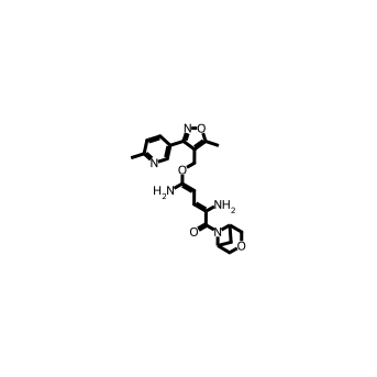 Cc1ccc(-c2noc(C)c2CO/C(N)=C/C=C(\N)C(=O)N2C3COCC2C3)cn1